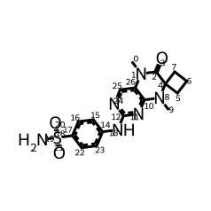 CN1C(=O)C2(CCC2)N(C)c2nc(Nc3ccc(S(N)(=O)=O)cc3)ncc21